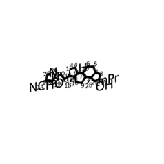 CCC[C@]1(O)CC2CC[C@@H]3C(CC[C@@]4(C)C3CC[C@@H]4[C@@](C)(O)Cn3cc(C#N)cn3)[C@@]2(C)C1